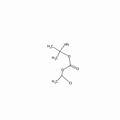 CCCC(C)(C)OC(=O)OC(C)Cl